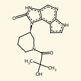 CC(C)(O)C(=O)N1CCC[C@@H](n2c(=O)[nH]c3cnc4[nH]ccc4c32)C1